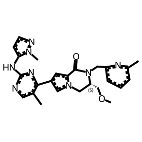 COC[C@@H]1Cn2cc(-c3nc(Nc4ccnn4C)ncc3C)cc2C(=O)N1Cc1cccc(C)n1